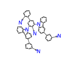 N#Cc1cccc(-c2ccc3c(c2)c2ccccc2n3-c2cc(-c3ccccc3C#N)cc(-n3c4ccccc4c4cc(-c5cccc(C#N)c5)ccc43)c2C#N)c1